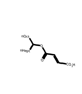 CCCCCCCCC(CCCCCCC)OC(=O)C=CC(=O)O